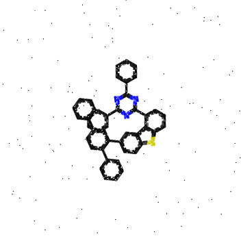 c1ccc(-c2ccc(-c3ccccc3)c(-c3ccc4sc5cccc(-c6nc(-c7ccccc7)nc(-c7ccccc7)n6)c5c4c3)c2)cc1